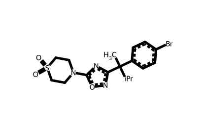 CC(C)C(C)(c1ccc(Br)cc1)c1noc(N2CCS(=O)(=O)CC2)n1